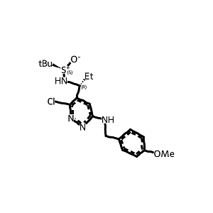 CC[C@@H](N[S@+]([O-])C(C)(C)C)c1cc(NCc2ccc(OC)cc2)nnc1Cl